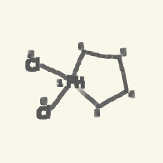 Cl[PH]1(Cl)CCCC1